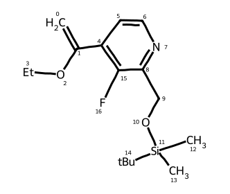 C=C(OCC)c1ccnc(CO[Si](C)(C)C(C)(C)C)c1F